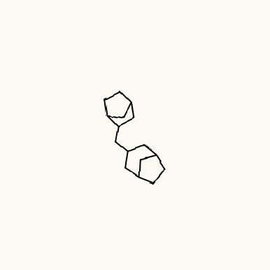 C1CC2CC1CC(CC1CC3CCC1C3)C2